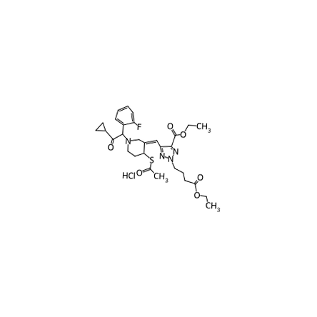 CCOC(=O)CCCn1nc(C=C2CN(C(C(=O)C3CC3)c3ccccc3F)CCC2SC(C)=O)c(C(=O)OCC)n1.Cl